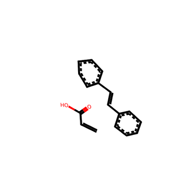 C(=Cc1ccccc1)c1ccccc1.C=CC(=O)O